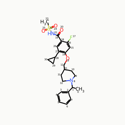 CC(c1ccccc1)N1CCC(COc2cc(F)c(C(=O)NS(C)(=O)=O)cc2C2CC2)CC1